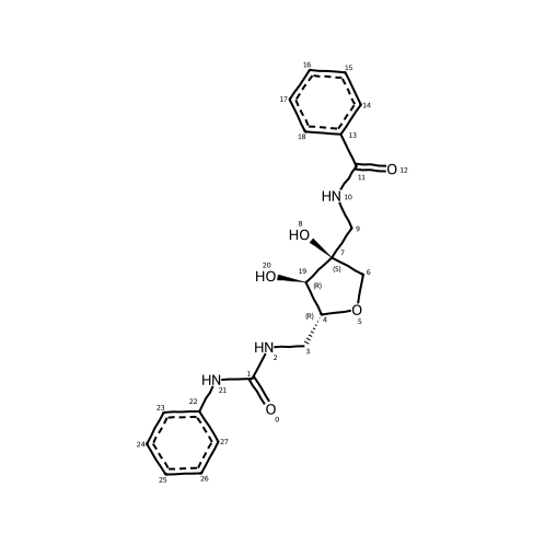 O=C(NC[C@H]1OC[C@@](O)(CNC(=O)c2ccccc2)[C@@H]1O)Nc1ccccc1